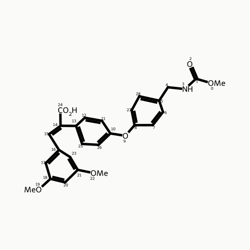 COC(=O)NCc1ccc(Oc2ccc(/C(=C\c3cc(OC)cc(OC)c3)C(=O)O)cc2)cc1